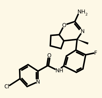 C[C@]1(c2cc(NC(=O)c3ccc(Cl)cn3)ccc2F)N=C(N)OC2CCCC21